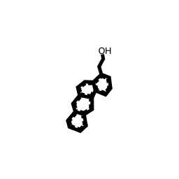 OCCc1cccc2c1ccc1cc3ccccc3cc12